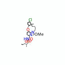 C=CC[C@H](C)[C@@H](C)S(=O)(=O)NC(=O)c1ccc2c(n1)N(C(C)OC)CCCCc1cc(Cl)ccc1CO2